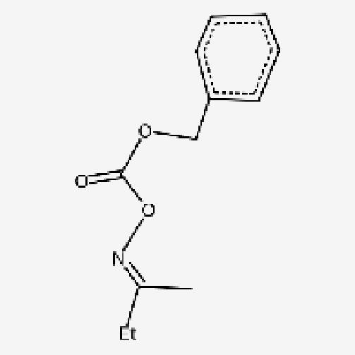 CCC(C)=NOC(=O)OCc1ccccc1